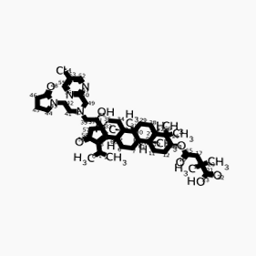 CC(C)C1=C2[C@H]3CC[C@@H]4[C@@]5(C)CC[C@H](OC(=O)CC(C)(C)C(=O)O)C(C)(C)[C@@H]5CC[C@@]4(C)[C@]3(C)CC[C@@]2([C@@H](O)CN(CCN2CCCC2=O)Cc2ncc(Cl)cn2)CC1=O